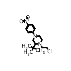 CC(C)(C)C1CN(c2ccc([N+](=O)[O-])cc2)CCN1CCCl